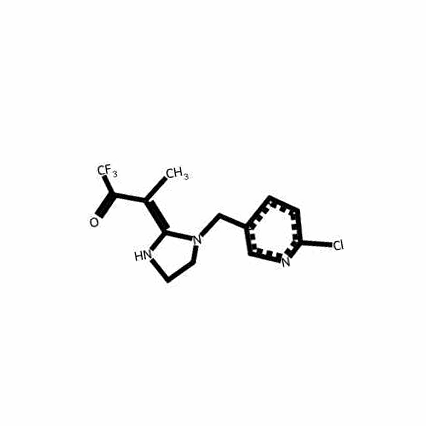 C/C(C(=O)C(F)(F)F)=C1/NCCN1Cc1ccc(Cl)nc1